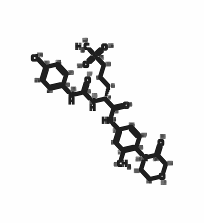 Cc1cc(NC(=O)[C@@H](CCCS(C)(=O)=O)NC(=O)Nc2ccc(Cl)cc2)ccc1N1CCOCC1=O